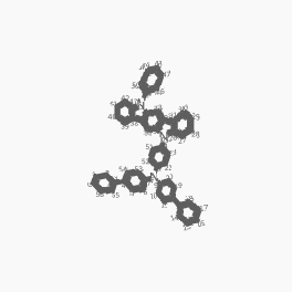 c1ccc(-c2ccc(N(c3ccc(-c4ccccc4)cc3)c3ccc(-n4c5ccccc5c5cc6c(cc54)c4ccccc4n6-c4ccccc4)cc3)cc2)cc1